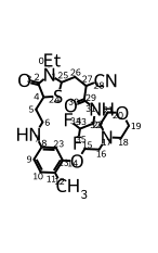 CCN1C(=O)C(CCNc2ccc(C)c(OCCN3CCOCC3)c2)SC1CC(C#N)C(=O)NCC(F)F